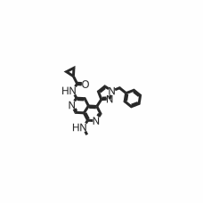 CNc1ncc(-c2ccn(Cc3ccccc3)n2)c2cc(NC(=O)C3CC3)ncc12